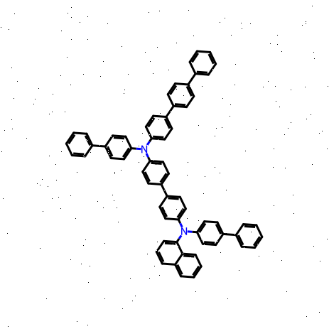 c1ccc(-c2ccc(-c3ccc(N(c4ccc(-c5ccccc5)cc4)c4ccc(-c5ccc(N(c6ccc(-c7ccccc7)cc6)c6cccc7ccccc67)cc5)cc4)cc3)cc2)cc1